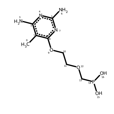 Cc1c(N)nc(N)nc1OCCOCP(O)O